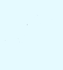 COC(=O)c1ccc2c(c1)NC(=O)/C2=C(\Nc1ccc(N(CCN(C)C)C(=O)Cc2ccccc2)cc1)c1ccccc1